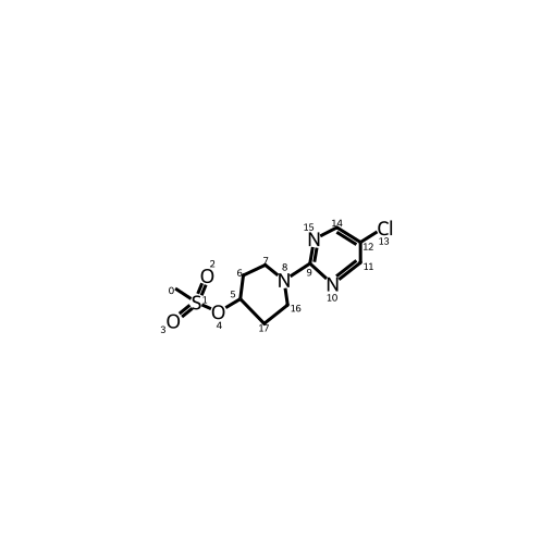 CS(=O)(=O)OC1CCN(c2ncc(Cl)cn2)CC1